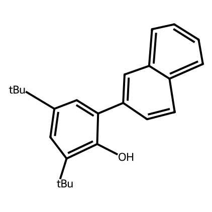 CC(C)(C)c1cc(-c2ccc3ccccc3c2)c(O)c(C(C)(C)C)c1